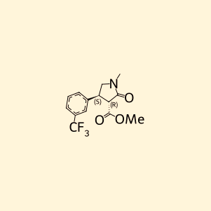 COC(=O)[C@H]1C(=O)N(C)C[C@@H]1c1cccc(C(F)(F)F)c1